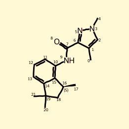 Cc1cn(C)nc1C(=O)Nc1cccc2c1[C@@H](C)CC2(C)C